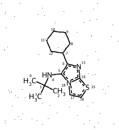 CC(C)(C)Nc1c(C2CCCCC2)nc2sccn12